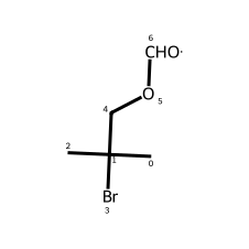 CC(C)(Br)CO[C]=O